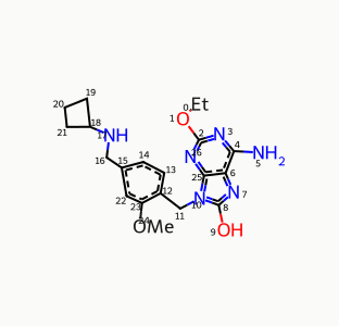 CCOc1nc(N)c2nc(O)n(Cc3ccc(CNC4CCC4)cc3OC)c2n1